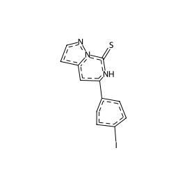 S=c1[nH]c(-c2ccc(I)cc2)cc2ccnn12